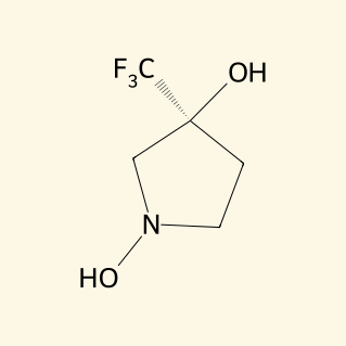 ON1CC[C@@](O)(C(F)(F)F)C1